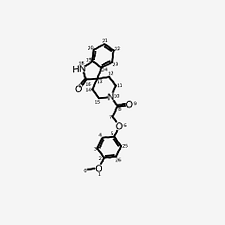 COc1ccc(OCC(=O)N2CCC3(CC2)C(=O)Nc2ccccc23)cc1